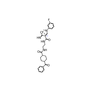 CN(/C=C(\C(=N)C(F)(F)F)C(=O)NCCNC(=O)C1CCC(C(=O)c2ccccc2)CC1)c1cccc(F)c1